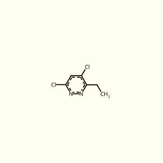 [CH2]Cc1nnc(Cl)cc1Cl